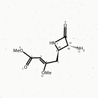 COC(=O)C=C(C[C@H]1NC(=O)[C@@H]1N)OC